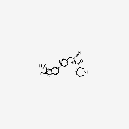 Cn1c(=O)oc2ccc(-c3ccc(C[C@@H](C#N)NC(=O)[C@@H]4CNCCCO4)cn3)cc21